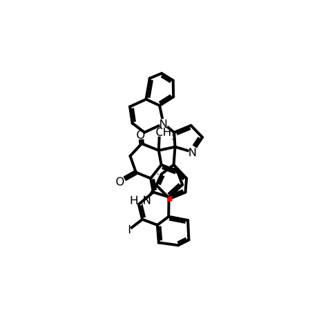 CC1(C2(c3[c]c(N)ccc3)N=CC=C2N2CC=Cc3ccccc32)C(=O)CC(=O)c2c1ccc1c2cc(I)c2ccccc21